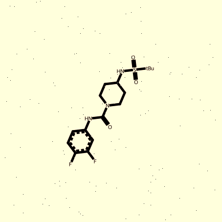 CC(C)(C)S(=O)(=O)NC1CCN(C(=O)Nc2ccc(F)c(F)c2)CC1